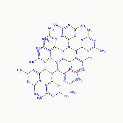 Nc1nc(N)nc(NN(c2nc(N)nc(N)n2)N(c2nc(N)nc(N)n2)N(c2nc(N)nc(N)n2)N(c2nc(N)nc(N)n2)N(c2nc(N)nc(N)n2)N(Nc2nc(N)nc(N)n2)c2nc(N)nc(N)n2)n1